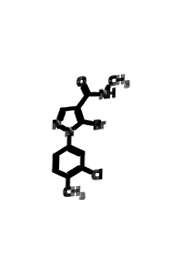 CNC(=O)c1cnn(-c2ccc(C)c(Cl)c2)c1Br